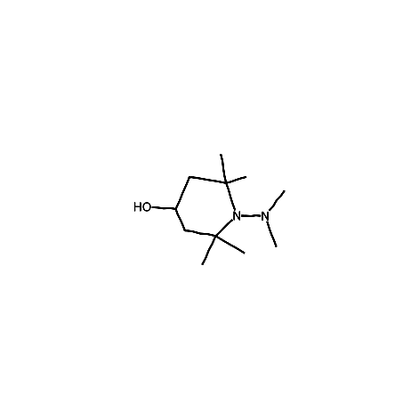 CN(C)N1C(C)(C)CC(O)CC1(C)C